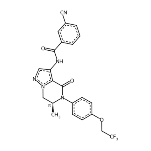 C[C@H]1Cn2ncc(NC(=O)c3cccc(C#N)c3)c2C(=O)N1c1ccc(OCC(F)(F)F)cc1